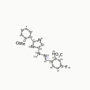 COc1ccccc1-c1nsc(N(C)/N=C/c2ccc(F)cc2C(=O)O)n1